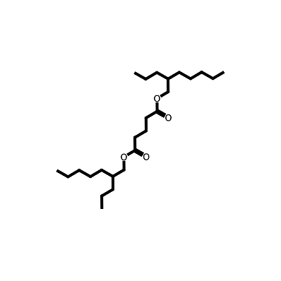 CCCCCC(CCC)COC(=O)CCCC(=O)OCC(CCC)CCCCC